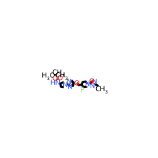 CCc1noc(N2CCC(COc3cnc(N4CC[C@@H](NC(=O)OC(C)(C)C)C4)nc3)[C@H](F)C2)n1